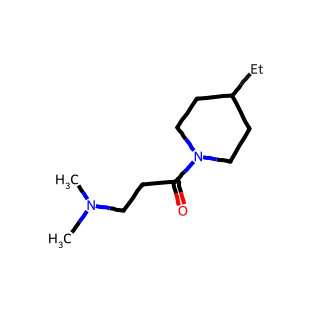 CCC1CCN(C(=O)CCN(C)C)CC1